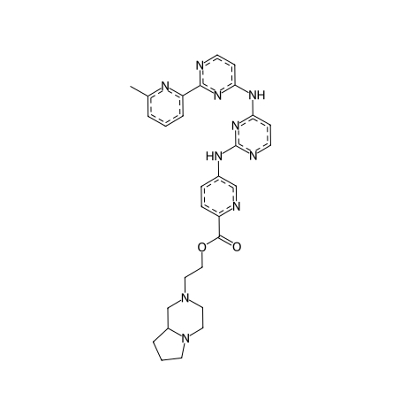 Cc1cccc(-c2nccc(Nc3ccnc(Nc4ccc(C(=O)OCCN5CCN6CCCC6C5)nc4)n3)n2)n1